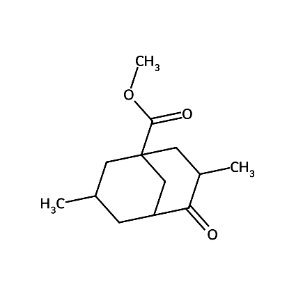 COC(=O)C12CC(C)CC(C1)C(=O)C(C)C2